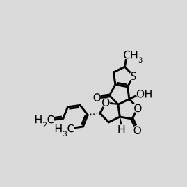 C=C/C=C\C(=C/C)[C@H]1C[C@H]2C(=O)OC3(O)C4=C(CC(C)S4)C(=O)[C@@]23O1